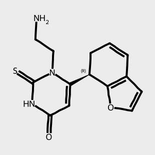 NCCn1c([C@H]2CC=Cc3ccoc32)cc(=O)[nH]c1=S